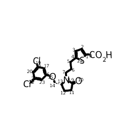 O=C(O)c1ccc(CCCN2C(=O)CC[C@@H]2COc2cc(Cl)cc(Cl)c2)s1